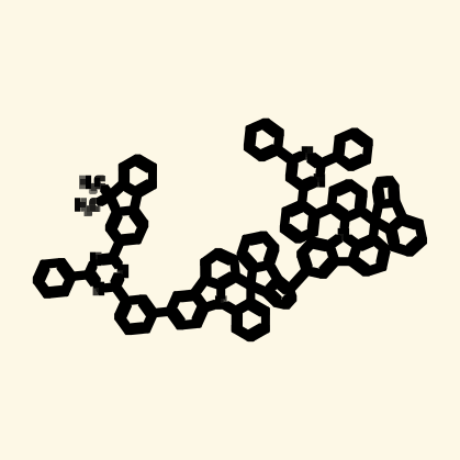 CC1(C)c2ccccc2-c2ccc(-c3nc(-c4ccccc4)nc(-c4cccc(-c5ccc6c(c5)c5cccc7c5n6-c5ccccc5C75c6ccccc6-c6c(-c7ccc8c(c7)c7cccc9c7n8-c7c(-c8ccccc8-c8cc(-c%10ccccc%10)nc(-c%10ccccc%10)n8)cccc7C97c8ccccc8-c8ccccc87)cccc65)c4)n3)cc21